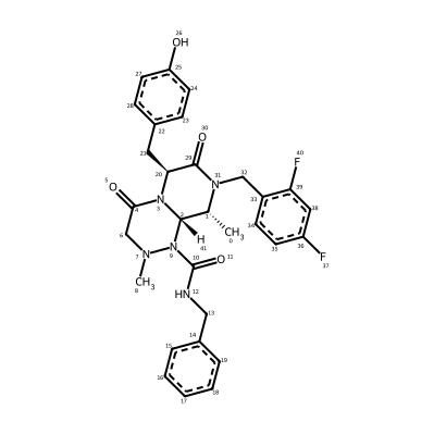 C[C@@H]1[C@H]2N(C(=O)CN(C)N2C(=O)NCc2ccccc2)[C@@H](Cc2ccc(O)cc2)C(=O)N1Cc1ccc(F)cc1F